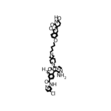 CN1C(c2ccc(C(=O)Nc3cc(Cl)ccn3)cc2F)=C2C(N)=NC=CN2C1N1CCC2(CC1)CN(CCCCCOc1ccc3c(c1)CN(C1CCC(=O)NC1=O)C3=O)C2